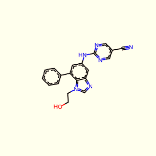 N#Cc1cnc(Nc2cc(-c3ccccc3)c3c(c2)ncn3CCO)nc1